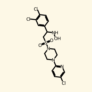 O=S(=O)(CC(NO)c1ccc(Cl)c(Cl)c1)N1CCN(c2ccc(Cl)cn2)CC1